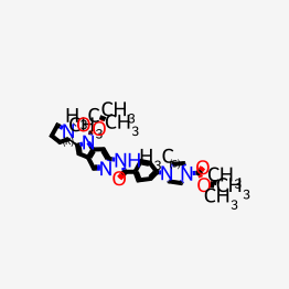 C[C@H]1CN(C(=O)OC(C)(C)C)CCN1c1ccc(C(=O)Nc2cc3c(cn2)cc([C@H]2CCCN2C)n3C(=O)OC(C)(C)C)cc1